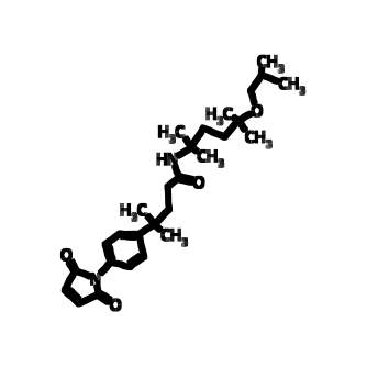 CC(C)COC(C)(C)CCC(C)(C)NC(=O)CCC(C)(C)c1ccc(N2C(=O)C=CC2=O)cc1